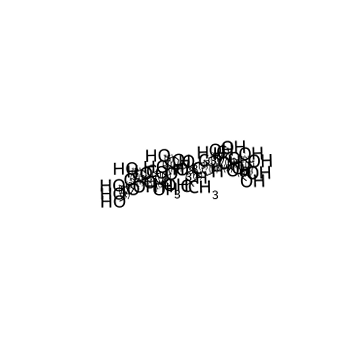 C[C@@H]1O[C@@H](O[C@H]2[C@H](OC(=O)[C@]34CCC(C)(C)C[C@H]3C3=CC[C@@H]5[C@@]6(C)C[C@H](O)[C@H](O[C@@H]7O[C@H](CO)[C@@H](O)[C@H](O)[C@H]7O)[C@@](C)(CO)[C@@H]6[C@H](O)C[C@@]5(C)[C@]3(C)CC4)OC[C@H](O)[C@@H]2O)[C@H](O)[C@H](O)[C@H]1O[C@@H]1OC[C@@H](O)[C@H](O[C@@H]2OC[C@](O)(CO)[C@H]2O)[C@H]1O